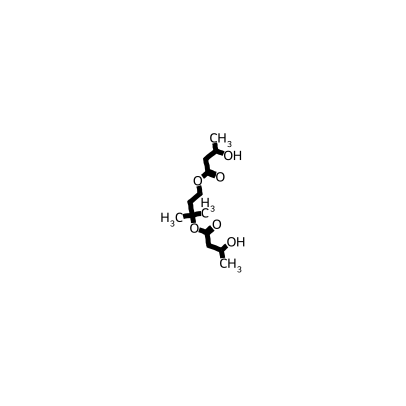 CC(O)CC(=O)OCCC(C)(C)OC(=O)CC(C)O